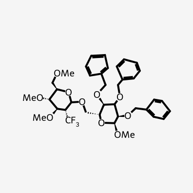 COC[C@H]1OC(OC[C@H]2O[C@H](OC)[C@H](OCc3ccccc3)C(OCc3ccccc3)[C@@H]2OCc2ccccc2)[C@H](C(F)(F)F)[C@@H](OC)[C@@H]1OC